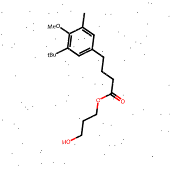 COc1c(C)cc(CCCC(=O)OCCCO)cc1C(C)(C)C